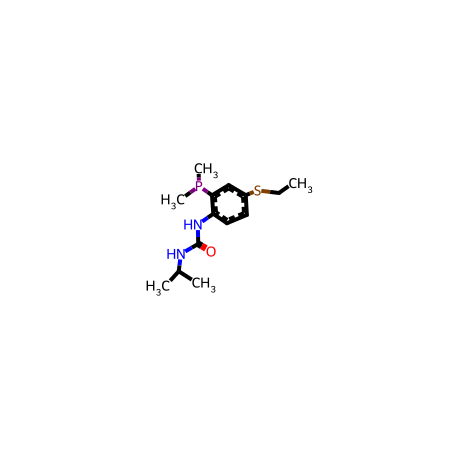 CCSc1ccc(NC(=O)NC(C)C)c(P(C)C)c1